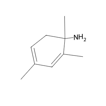 CC1=CCC(C)(N)C(C)=C1